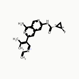 C=C/N=C\C(=C(C)C)c1cc2cc(NC(=O)[C@@H]3C[C@H]3F)ncc2c(N)n1